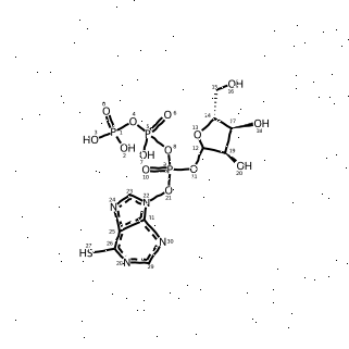 O=P(O)(O)OP(=O)(O)OP(=O)(OC1O[C@H](CO)[C@@H](O)[C@H]1O)On1cnc2c(S)ncnc21